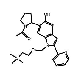 CC(=O)N1CCCC1c1cc2c(cc1O)nc(-c1ccccn1)n2COCC[Si](C)(C)C